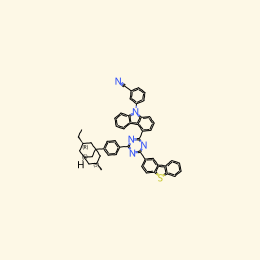 CC[C@@H]1C[C@@H]2C[C@H](C)CC(c3ccc(-c4nc(-c5ccc6sc7ccccc7c6c5)nc(-c5cccc6c5c5ccccc5n6-c5cccc(C#N)c5)n4)cc3)(C1)C2